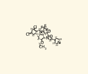 CCOc1ccc2c(c1)c(C(=O)c1ncc(-c3ccncc3)o1)c(C(F)(F)F)n2Cc1ccc(Cl)cc1Cl